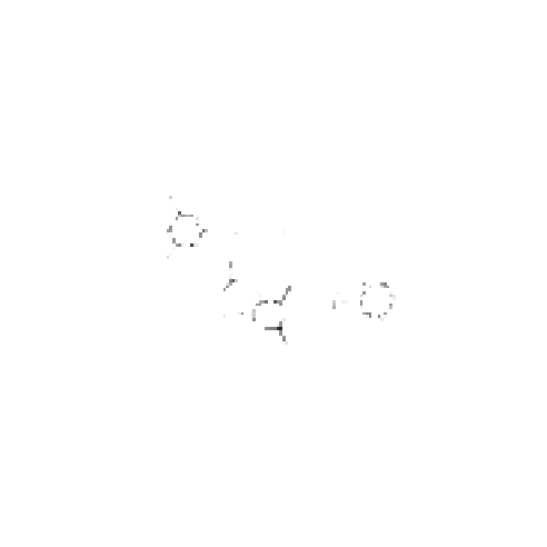 Cc1cc(N)nc(C)c1CNC(=O)Cc1c(C)[nH]c(=O)n(NCC(F)(F)c2ccccn2)c1=O.Cl